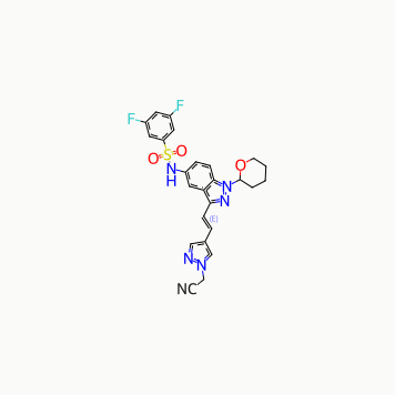 N#CCn1cc(/C=C/c2nn(C3CCCCO3)c3ccc(NS(=O)(=O)c4cc(F)cc(F)c4)cc23)cn1